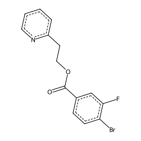 O=C(OCCc1ccccn1)c1ccc(Br)c(F)c1